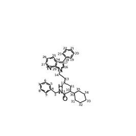 O=C(NCc1ccccc1)C(CCCCn1cc(-c2ccccc2)c2cccnc21)C1CCCCC1